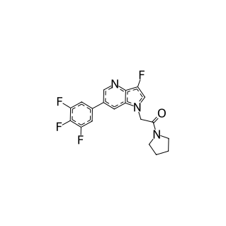 O=C(Cn1cc(F)c2ncc(-c3cc(F)c(F)c(F)c3)cc21)N1CCCC1